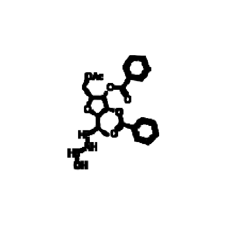 CC(=O)OCC1O[C@H]([C@@H](C)PNBO)[C@@H](OC(=O)c2ccccc2)[C@H]1OC(=O)c1ccccc1